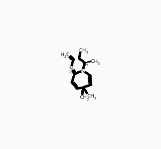 C=C/N=C1/C=CC(C)(C)C=CN1[C@H](C)CC